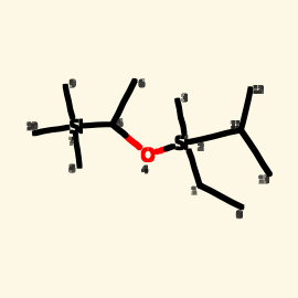 CC[Si](C)(OC(C)[Si](C)(C)C)C(C)C